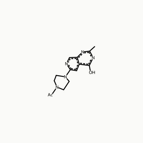 CC(=O)N1CCN(c2cc3c(O)nc(C)nc3cn2)CC1